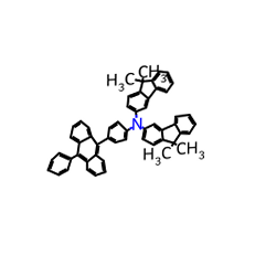 CC1(C)c2ccccc2-c2cc(N(c3ccc(-c4c5ccccc5c(-c5ccccc5)c5ccccc45)cc3)c3ccc4c(c3)-c3ccccc3C4(C)C)ccc21